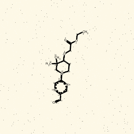 CCOC(=O)COC1CCN(c2cnc(C=O)cn2)CC1(C)C